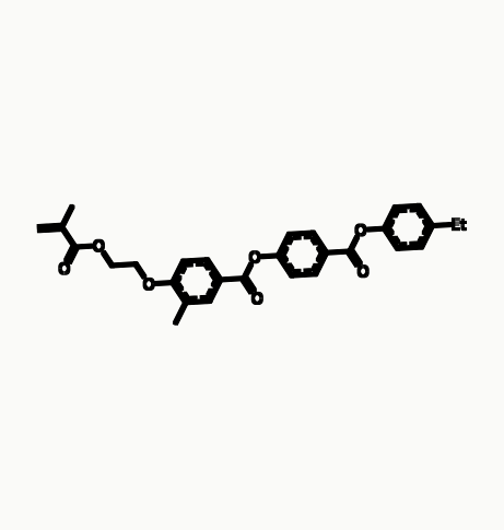 C=C(C)C(=O)OCCOc1ccc(C(=O)Oc2ccc(C(=O)Oc3ccc(CC)cc3)cc2)cc1C